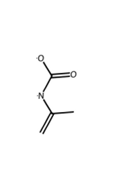 C=C(C)[N]C([O])=O